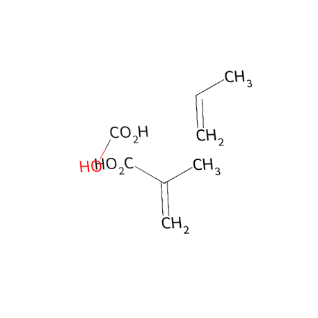 C=C(C)C(=O)O.C=CC.O=C(O)O